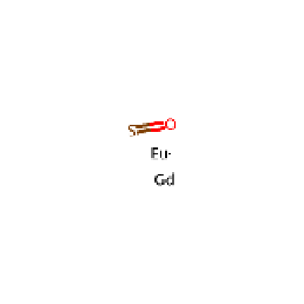 O=S.[Eu].[Gd]